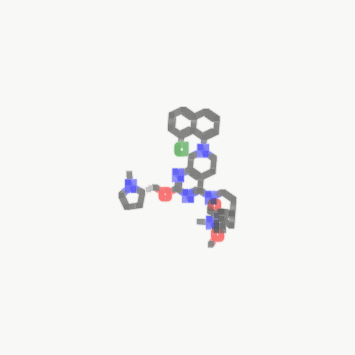 CON(C)C(=O)[C@]12CCN(c3nc(OC[C@@H]4CCCN4C)nc4c3CCN(c3cccc5cccc(Cl)c35)C4)C[C@H]1C2